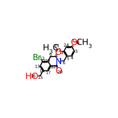 COc1ccc(CN2CCc3c(Br)cc(CO)cc3C2=O)c(OC)c1